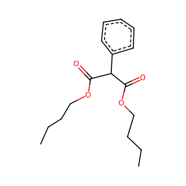 CCCCOC(=O)C(C(=O)OCCCC)c1ccccc1